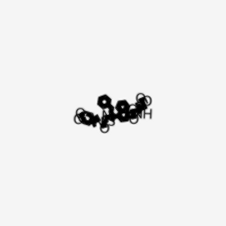 O=C(c1nc(CC2CCCCC2)c(-c2ccc(S(=O)(=O)NC3CS(=O)(=O)C3)c3ccccc23)s1)N1CC2(CCS(=O)(=O)CC2)C1